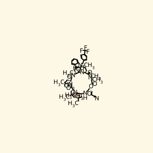 CCCC[C@@H]1NC(=O)[C@@H](CCC#N)OC(=O)[C@H](C)N(C)C(=O)[C@H](CC(C)C)NC(=O)[C@H](Cc2cn(Cc3ccc(C(F)(F)F)cc3)c3ccccc23)N(C)C(=O)[C@H](CC(C)C)NC(=O)[C@H](CC(C)C)N(C)C1=O